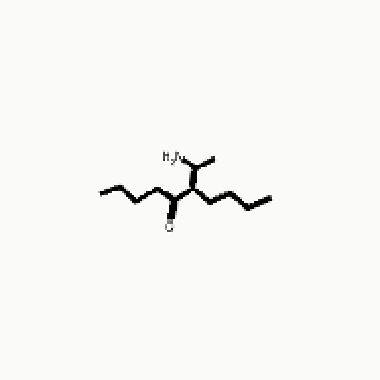 CCCCC(=O)C(CCCC)=C(C)N